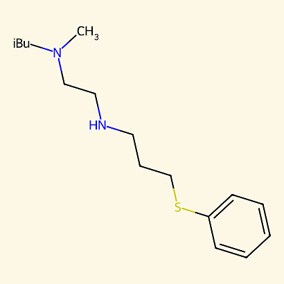 CCC(C)N(C)CCNCCCSc1ccccc1